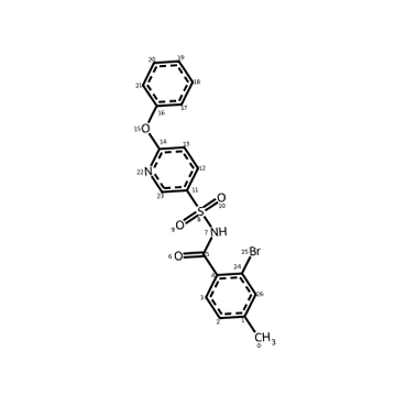 Cc1ccc(C(=O)NS(=O)(=O)c2ccc(Oc3ccccc3)nc2)c(Br)c1